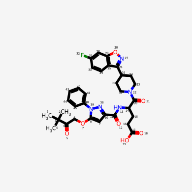 CC(C)(C)C(=O)COc1cc(C(=O)NC(CCC(=O)O)C(=O)N2CCC(c3noc4cc(F)ccc34)CC2)nn1-c1ccccc1